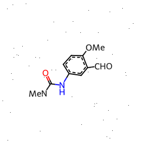 CNC(=O)Nc1ccc(OC)c(C=O)c1